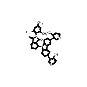 Cc1cc(C)c(N2C(=O)c3cccc(-n4c5ccc(-c6cnccc6C#N)cc5c5cc(-c6cnccc6C#N)ccc54)c3C2=O)c(C)c1